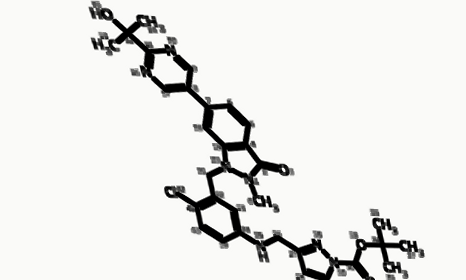 Cn1c(=O)c2ccc(-c3cnc(C(C)(C)O)nc3)cc2n1Cc1cc(NCc2ccn(C(=O)OC(C)(C)C)n2)ccc1Cl